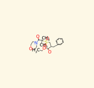 CCOC(=O)C(Cc1ccccc1)CS(=O)(=O)C(C)(C)C(=O)N1CCOCC1